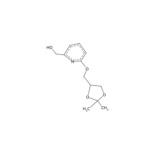 CC1(C)OCC(COc2cccc(CO)n2)O1